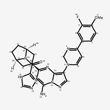 COc1ccc(C2=NCN(c3cnn4c(N)cc([C@H]5C[C@H]6CC[C@@H](C5)N6C(=O)c5nnc[nH]5)nc34)C=C2)cc1F